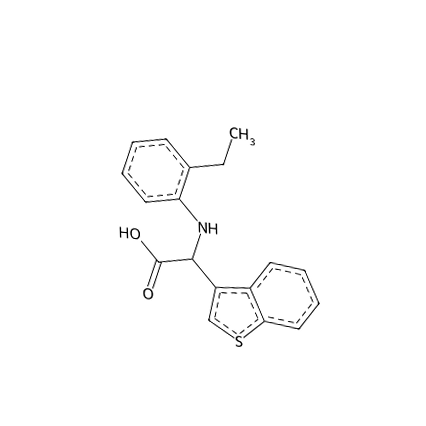 CCc1ccccc1NC(C(=O)O)c1csc2ccccc12